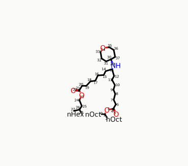 CCCCCCCCC(CCCCCCCC)OC(=O)CCCCCCCC(CCCCCCCC(=O)OCCC(C)CCCCCC)NC1CCCOCCC1